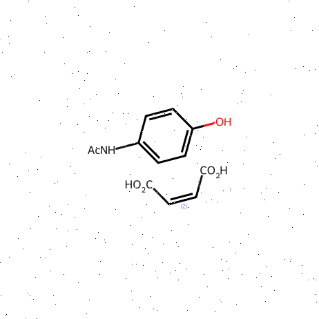 CC(=O)Nc1ccc(O)cc1.O=C(O)/C=C\C(=O)O